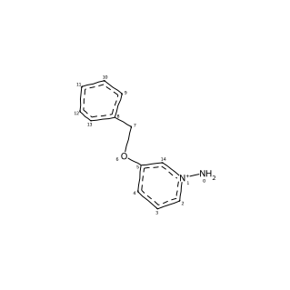 N[n+]1cccc(OCc2ccccc2)c1